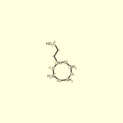 O=C(O)CC[SiH]1O[SiH2]O[SiH2]O[SiH2]O1